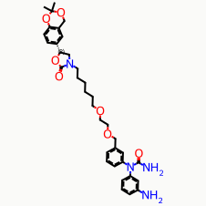 CC1(C)OCc2cc([C@@H]3CN(CCCCCCOCCOCc4cccc(N(C(N)=O)c5cccc(N)c5)c4)C(=O)O3)ccc2O1